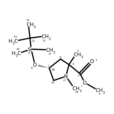 COC(=O)C1(C)C[C@@H](O[Si](C)(C)C(C)(C)C)CN1C